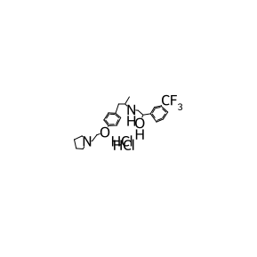 CC(Cc1ccc(OCCN2CCCC2)cc1)NCC(O)c1cccc(C(F)(F)F)c1.Cl.Cl